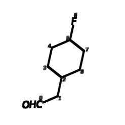 O=CCC1CCC(F)CC1